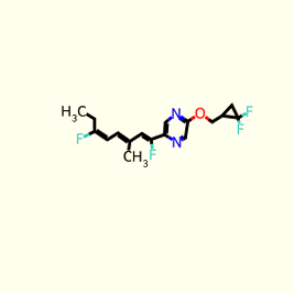 CC\C(F)=C/C=C(C)/C=C(\F)c1cnc(OCC2CC2(F)F)cn1